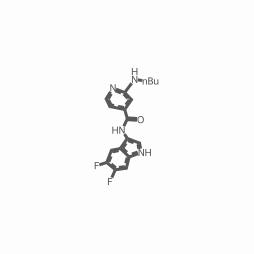 CCCCNc1cc(C(=O)Nc2c[nH]c3cc(F)c(F)cc23)ccn1